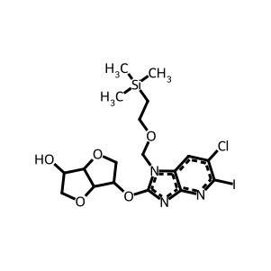 C[Si](C)(C)CCOCn1c(OC2COC3C(O)COC23)nc2nc(I)c(Cl)cc21